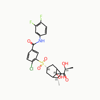 C[C@H](O)C(=O)[C@@]1(O)C2C[C@@H](S(=O)(=O)c3cc(C(=O)Nc4ccc(F)c(F)c4)ccc3Cl)CC1[C@@H](C)C2